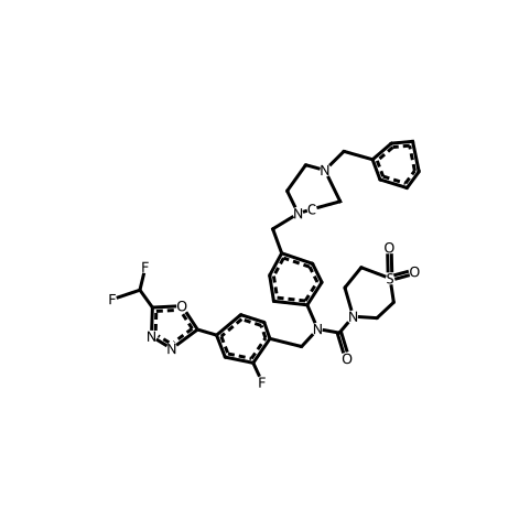 O=C(N1CCS(=O)(=O)CC1)N(Cc1ccc(-c2nnc(C(F)F)o2)cc1F)c1ccc(CN2CCN(Cc3ccccc3)CC2)cc1